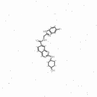 O=C(NCc1nc2cc(F)ccc2[nH]1)c1ccc2cnc(NC3CCC(O)CC3)nc2c1